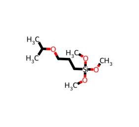 CO[Si](CCCOC(C)C)(OC)OC